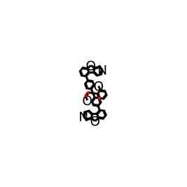 c1ccc2c(c1)Oc1cc(-c3cccc4oc5cnccc5c34)ccc1C21c2ccccc2Oc2cc(-c3cccc4oc5cnccc5c34)ccc21